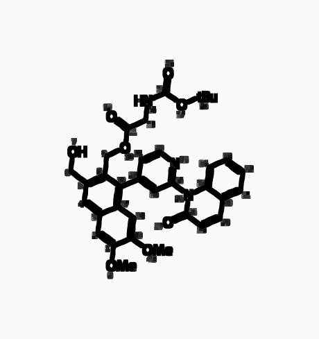 COc1cc2cc(CO)c(COC(=O)CNC(=O)OC(C)(C)C)c(-c3ccnc(-n4c(=O)ccc5ccccc54)c3)c2cc1OC